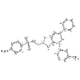 Cc1ccc(S(=O)(=O)OCC2Cc3cc(-c4ccccc4)cc(-c4cccc(C)c4)c3O2)cc1